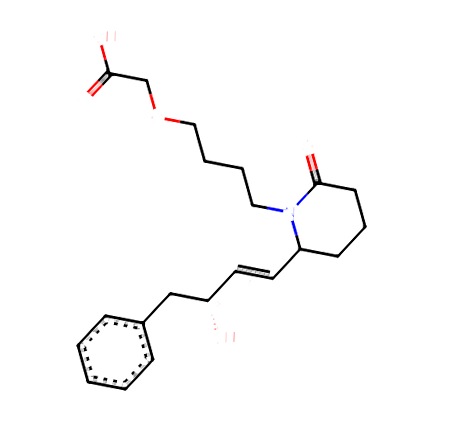 O=C(O)COCCCCN1C(=O)CCCC1/C=C/[C@H](O)Cc1ccccc1